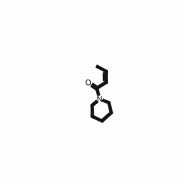 C/C=C\C(=O)N1CCCCC1